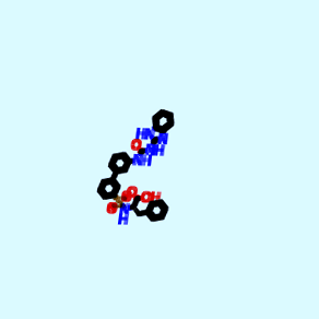 O=C(Nc1cccc(-c2cccc(S(=O)(=O)N[C@H](Cc3ccccc3)C(=O)O)c2)c1)Nc1nc2ccccc2[nH]1